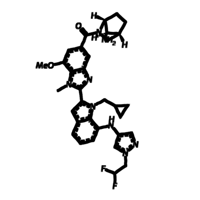 COc1cc(C(=O)N2C[C@H]3CC[C@@H]2[C@@H]3N)cc2nc(-c3cc4cccc(Nc5cnn(CC(F)F)c5)c4n3CC3CC3)n(C)c12